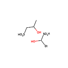 CC(O)CS(=O)(=O)O.CCC(O)S(=O)(=O)O